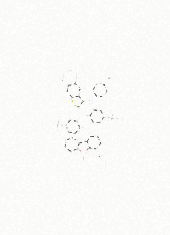 CC(C)(C)c1ccc(N2c3cc(C(C)(C)C)cc4c3B(c3cc(C(C)(C)C)ccc3N4c3ccc(C(C)(C)C)c4oc5ccccc5c34)c3sc4cc5c(cc4c32)C(C)(C)CCC5(C)C)cc1